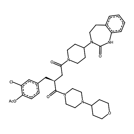 CC(=O)Oc1ccc(C[C@@H](CC(=O)N2CCC(N3CCc4ccccc4NC3=O)CC2)C(=O)N2CCN(C3CCOCC3)CC2)cc1Cl